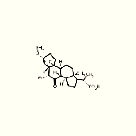 CC[C@H]1C(=O)[C@@H]2[C@H](CC[C@]3(C)C([C@H](C)C(=O)O)CC[C@@H]23)[C@@]2(C)CC[C@@H](OP)C[C@@H]12